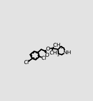 CC(C)(OC(=O)Cc1ccc(Cl)cc1Cl)C1CCNCC1